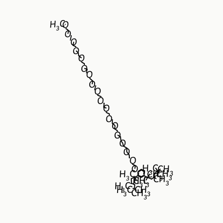 COCCOCCOCCOCCOCCOCCOCCOCCOCCOCCOCCOCCOCCOCCOCCOCCOCCOc1ccc(C(C)(C)CC(C)CC(C)(C)C)cc1C(C)(C)CC(C)CC(C)(C)C